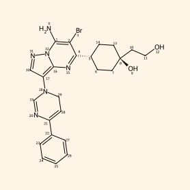 Nc1c(Br)c([C@H]2CC[C@@](O)(CCO)CC2)nc2c(N3C=NC(c4ccccc4)=CC3)cnn12